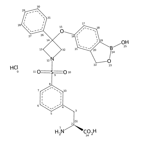 Cl.N[C@@H](Cc1cccc(S(=O)(=O)N2CC(Oc3ccc4c(c3)COB4O)(c3ccccc3)C2)c1)C(=O)O